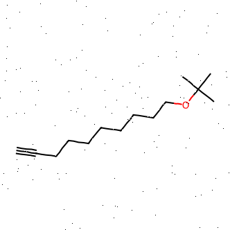 C#CCCCCCCCCOC(C)(C)C